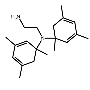 CC1=CC(C)(N(CCN)C2(C)C=C(C)C=C(C)C2)CC(C)=C1